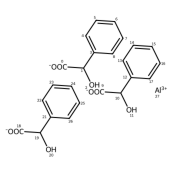 O=C([O-])C(O)c1ccccc1.O=C([O-])C(O)c1ccccc1.O=C([O-])C(O)c1ccccc1.[Al+3]